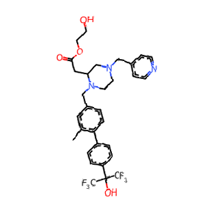 Cc1cc(CN2CCN(Cc3ccncc3)CC2CC(=O)OCCO)ccc1-c1ccc(C(O)(C(F)(F)F)C(F)(F)F)cc1